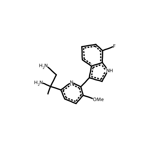 COc1ccc(C(C)(N)CN)nc1-c1c[nH]c2c(F)cccc12